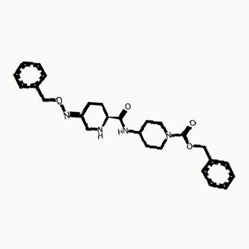 O=C(NC1CCN(C(=O)OCc2ccccc2)CC1)[C@@H]1CCC(=NOCc2ccccc2)CN1